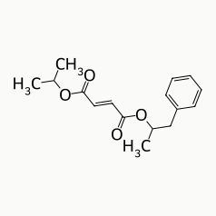 CC(C)OC(=O)/C=C/C(=O)OC(C)Cc1ccccc1